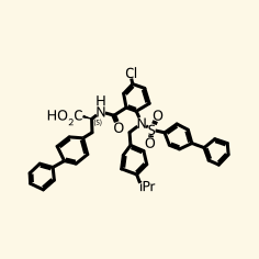 CC(C)c1ccc(CN(c2ccc(Cl)cc2C(=O)N[C@@H](Cc2ccc(-c3ccccc3)cc2)C(=O)O)S(=O)(=O)c2ccc(-c3ccccc3)cc2)cc1